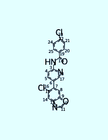 O=C(Nc1ccc(-c2cc3ocnc3cc2Cl)cn1)c1ccc(Cl)cc1